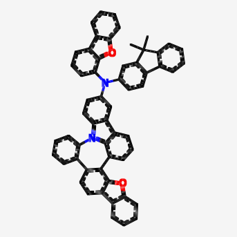 CC1(C)c2ccccc2-c2ccc(N(c3ccc4c(c3)c3cccc5c3n4-c3ccccc3-c3ccc4c(oc6ccccc64)c3-5)c3cccc4c3oc3ccccc34)cc21